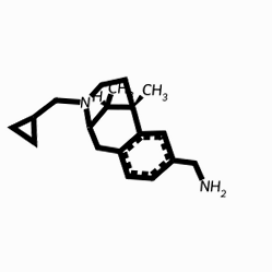 C[C@H]1C2Cc3ccc(CN)cc3[C@@]1(C)CCN2CC1CC1